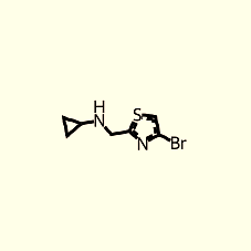 Brc1csc(CNC2CC2)n1